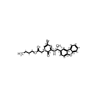 CCCCOC(=O)Cn1cc(Br)nc(N[C@H](C)c2ccc3oc4ccccc4c3c2)c1=O